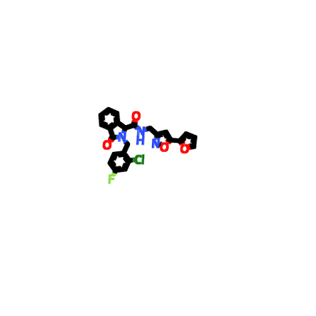 O=C(NCc1cc(-c2ccco2)on1)C1c2ccccc2C(=O)N1Cc1ccc(F)cc1Cl